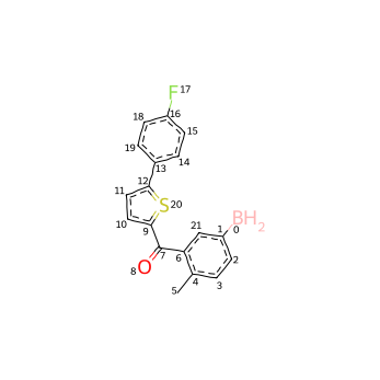 Bc1ccc(C)c(C(=O)c2ccc(-c3ccc(F)cc3)s2)c1